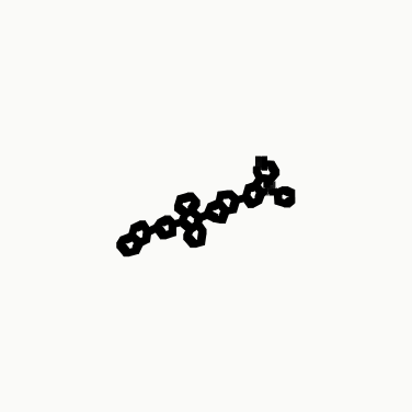 c1ccc(-n2c3ccncc3c3cc(-c4ccc5cc(-c6c7ccccc7c(-c7ccc(-c8ccc9ccccc9c8)cc7)c7ccccc67)ccc5c4)ccc32)cc1